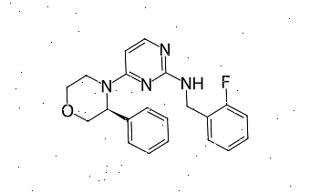 Fc1ccccc1CNc1nccc(N2CCOC[C@@H]2c2ccccc2)n1